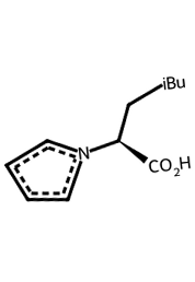 CCC(C)C[C@@H](C(=O)O)n1cccc1